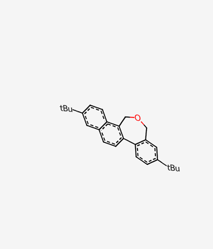 CC(C)(C)c1ccc2c(c1)COCc1c-2ccc2cc(C(C)(C)C)ccc12